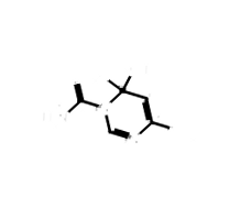 CC1(C)C=C(C(=O)O)N=CN1C(N)=O